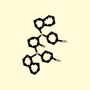 CC(C)(C)c1ccc(N(c2cccc(N(c3ccc(C(C)(C)C)cc3)c3cccc4ccccc34)c2Br)c2cccc3ccccc23)cc1